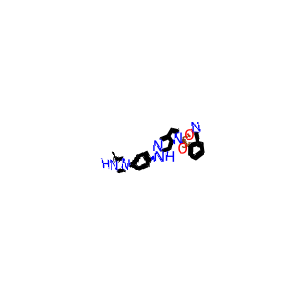 C[C@H]1CN(c2ccc(Nc3cc4c(ccn4S(=O)(=O)c4ccccc4C#N)cn3)cc2)CCN1